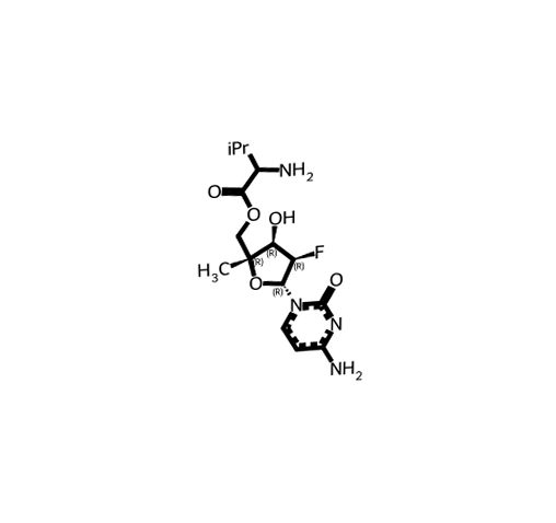 CC(C)C(N)C(=O)OC[C@@]1(C)O[C@@H](n2ccc(N)nc2=O)[C@H](F)[C@@H]1O